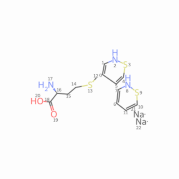 C1=CNSC=C1.C1=CNSC=C1.CSCC[C@H](N)C(=O)O.[Na].[Na]